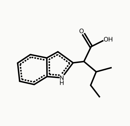 CCC(C)C(C(=O)O)c1cc2ccccc2[nH]1